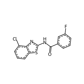 O=C(Nc1nc2c(Cl)cccc2s1)c1cccc(F)c1